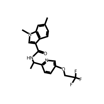 Cc1ccc2c(C(=O)NC(C)c3ccc(OCC(F)(F)F)cn3)cn(C)c2c1